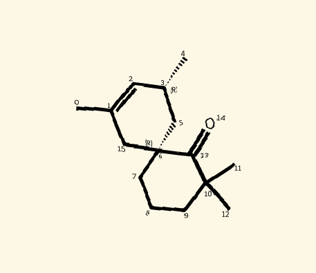 CC1=C[C@H](C)C[C@]2(CCCC(C)(C)C2=O)C1